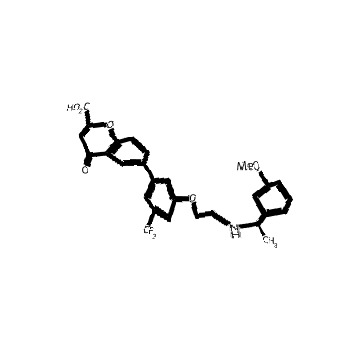 COc1cccc([C@@H](C)NCCOc2cc(-c3ccc4oc(C(=O)O)cc(=O)c4c3)cc(C(F)(F)F)c2)c1